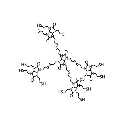 O=C1N(CCS)C2C(N1CCS)N(CCSSCCN1C(=O)N(CCSSCCN3C(=O)N(CCS)C4C3N(CCS)C(=O)N4CCS)C3C1N(CCSSCCN1C(=O)N(CCS)C4C1N(CCS)C(=O)N4CCS)C(=O)N3CCSSCCN1C(=O)N(CCS)C3C1N(CCS)C(=O)N3CCS)C(=O)N2CCS